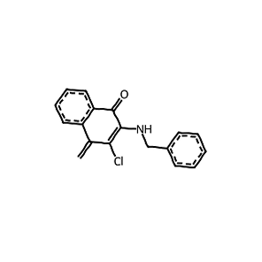 C=C1C(Cl)=C(NCc2ccccc2)C(=O)c2ccccc21